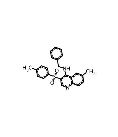 Cc1ccc(S(=O)(=O)c2cnc3ccc(C)cc3c2NCc2ccccc2)cc1